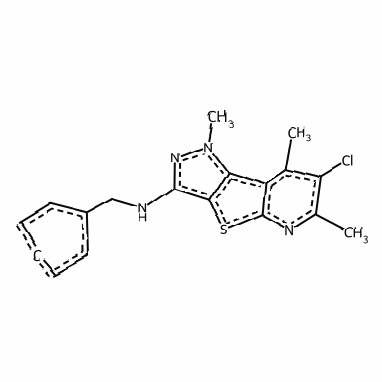 Cc1nc2sc3c(NCc4ccccc4)nn(C)c3c2c(C)c1Cl